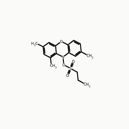 CCCS(=O)(=O)ON1c2cc(C)ccc2Oc2cc(C)cc(C)c21